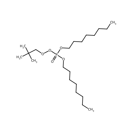 CCCCCCCCOP(=O)(OCCCCCCCC)OOCC(C)(C)C